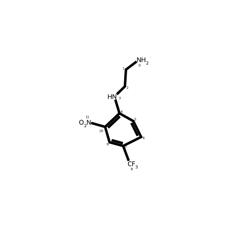 NCCNc1ccc(C(F)(F)F)cc1[N+](=O)[O-]